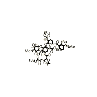 CNNc1cccc(C(=O)O[C@H]2CC[C@@H](NC(=O)OC(C)(C)C)[C@H](O[C@H]3[C@H](O)[C@@H](O[C@H]4OC[C@](C)(O)[C@H](NC)[C@H]4O)[C@H](NC(=O)[C@H]4OC(C)(C)O[C@@H]4CNC(=O)OC(C)(C)C)C[C@@H]3NC(=O)OC(C)(C)C)O2)c1C(C)(C)C